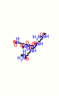 COC(=O)NCCCC[C@H](NC(C)=O)C(=O)NCCC(=O)N(CC(=O)NCCCCC(NC1CC1)C(N)=O)CC(=O)NCCCCC(NC1CC1)C(N)=O